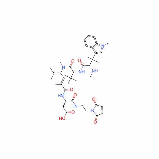 CN[C@H](C(=O)NC(C(=O)N(C)[C@H](/C=C(\C)C(=O)N[C@H](CC(=O)O)C(=O)NCCN1C(=O)C=CC1=O)C(C)C)C(C)(C)C)C(C)(C)c1cn(C)c2ccccc12